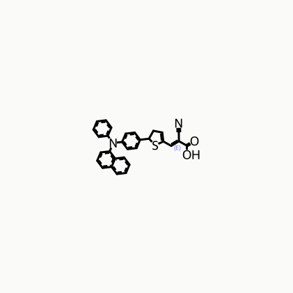 N#C/C(=C\C1=CCC(c2ccc(N(c3ccccc3)c3cccc4ccccc34)cc2)S1)C(=O)O